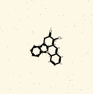 O=C1Cc2c3n(c4ccccc24)C2C=CC=CC2=CC3=C1Cl